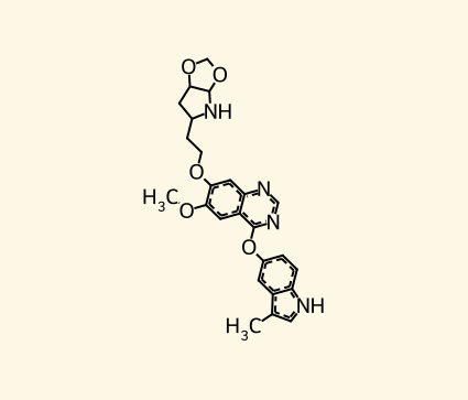 COc1cc2c(Oc3ccc4[nH]cc(C)c4c3)ncnc2cc1OCCC1CC2OCOC2N1